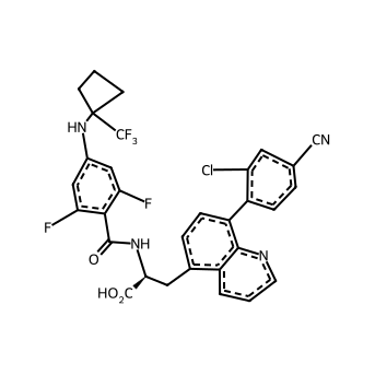 N#Cc1ccc(-c2ccc(C[C@H](NC(=O)c3c(F)cc(NC4(C(F)(F)F)CCC4)cc3F)C(=O)O)c3cccnc23)c(Cl)c1